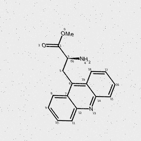 COC(=O)[C@@H](N)Cc1c2ccccc2nc2ccccc12